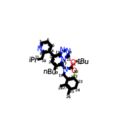 CCCCc1cc(-c2cccnc2CC(C)C)c2nncn2c1N(CC1=C(F)CCC(C)=C1C)C(=O)OC(C)(C)C